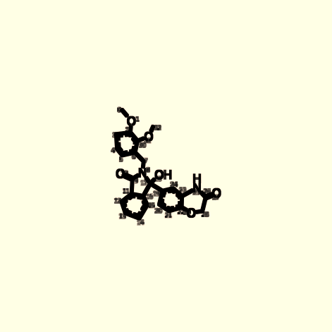 COc1cccc(CN2C(=O)c3ccccc3C2(O)c2ccc3c(c2)NC(=O)CO3)c1OC